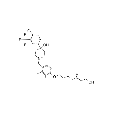 Cc1c(CN2CCC(O)(c3ccc(Cl)c(C(F)(F)F)c3)CC2)ccc(OCCCCNCCO)c1C